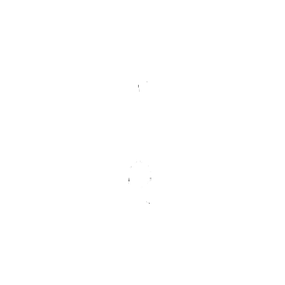 N#Cc1ccc(CC[C@H]2CC[C@H](C=O)CC2)cc1